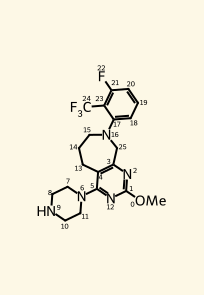 COc1nc2c(c(N3CCNCC3)n1)CCCN(c1cccc(F)c1C(F)(F)F)C2